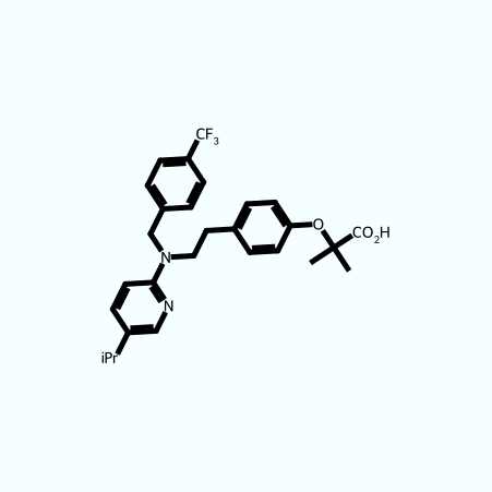 CC(C)c1ccc(N(CCc2ccc(OC(C)(C)C(=O)O)cc2)Cc2ccc(C(F)(F)F)cc2)nc1